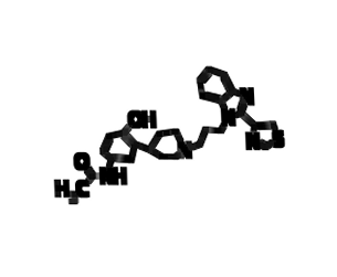 CC(=O)Nc1ccc(O)c(C2CCN(CCCn3c(-c4cscn4)nc4ccccc43)CC2)c1